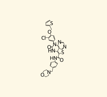 O=C(Nc1ccc(CN2CCOCC2)cc1)c1sc2ncnc3c2c1NC(=O)N3c1ccc(OCc2cccs2)c(Cl)c1